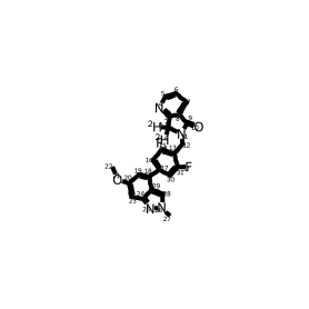 [2H]C1([2H])c2ncccc2C(=O)N1Cc1c(F)cc(-c2cc(OC)cc3nn(C)cc23)cc1F